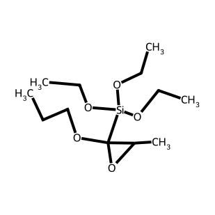 CCCOC1([Si](OCC)(OCC)OCC)OC1C